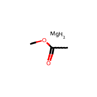 COC(C)=O.[MgH2]